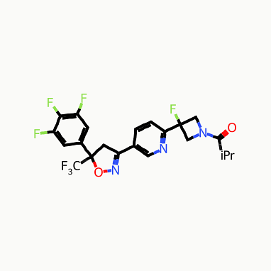 CC(C)C(=O)N1CC(F)(c2ccc(C3=NOC(c4cc(F)c(F)c(F)c4)(C(F)(F)F)C3)cn2)C1